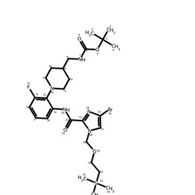 CC(C)(C)OC(=O)NCC1CCN(c2c(F)cccc2NC(=O)c2nc(Br)cn2COCC[Si](C)(C)C)CC1